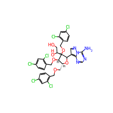 Nc1ncnc2c(C3O[C@H](COCc4ccc(Cl)cc4Cl)[C@@H](OCc4ccc(Cl)cc4Cl)[C@]3(OCc3ccc(Cl)cc3Cl)C(O)CO)cnn12